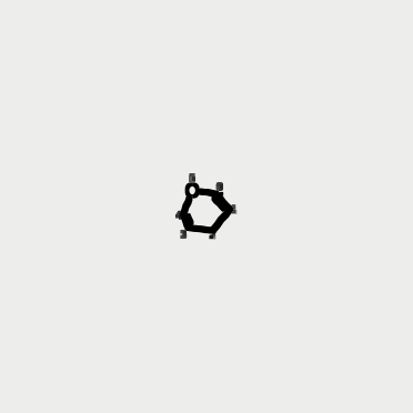 [C]1=CCC=CO1